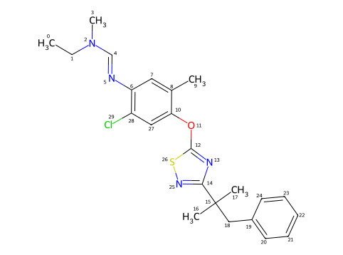 CCN(C)C=Nc1cc(C)c(Oc2nc(C(C)(C)Cc3ccccc3)ns2)cc1Cl